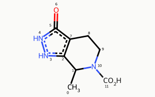 CC1c2[nH][nH]c(=O)c2CCN1C(=O)O